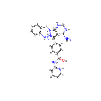 Nc1ccccc1Cn1nc(-c2ccc(C(=O)Nc3ccccn3)cc2)c2c(N)ncnc21